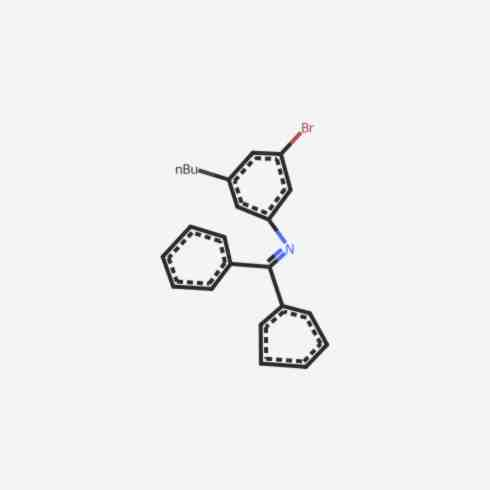 CCCCc1cc(Br)cc(N=C(c2ccccc2)c2ccccc2)c1